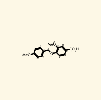 COc1ccc(COc2ccc(C(=O)O)cc2OC)cc1